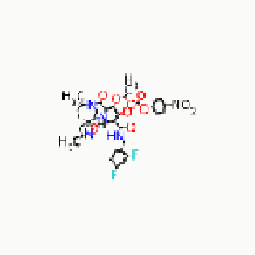 CC1=NO[C@@]2(CC[C@H](C)N3C[C@H]2n2cc(C(=O)NCc4ccc(F)cc4F)c(=O)c(OC(C)OC(=O)Oc4ccc([N+](=O)[O-])cc4)c2C3=O)C1